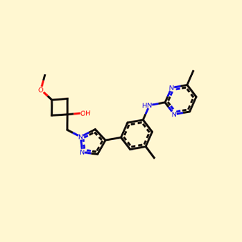 COC1CC(O)(Cn2cc(-c3cc(C)cc(Nc4nccc(C)n4)c3)cn2)C1